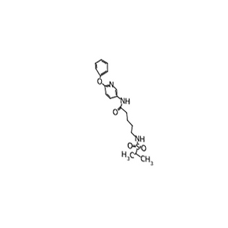 CC(C)S(=O)(=O)NCCCCC(=O)Nc1ccc(Oc2ccccc2)nc1